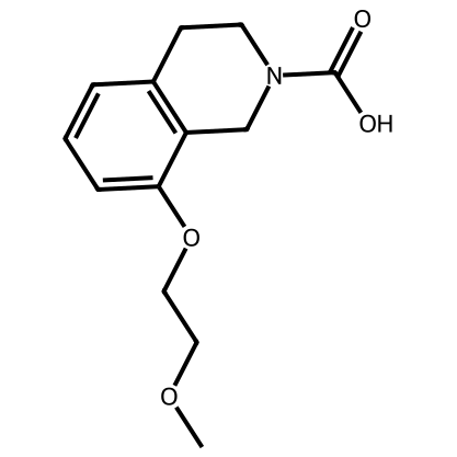 COCCOc1cccc2c1CN(C(=O)O)CC2